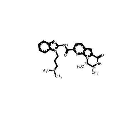 C[C@H]1NC(=O)c2cc3ccc(C(=O)Nc4nc5ccccc5n4CCCN(C)C)nc3n2[C@H]1C